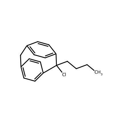 CCCCC1(Cl)c2ccc(cc2)Cc2ccc1cc2